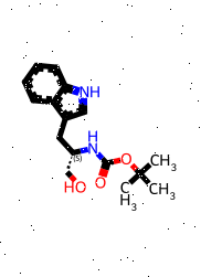 CC(C)(C)OC(=O)N[C@H](CO)Cc1c[nH]c2ccccc12